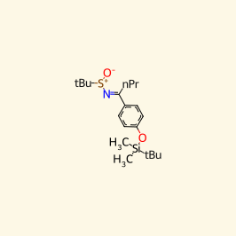 CCCC(=N[S+]([O-])C(C)(C)C)c1ccc(O[Si](C)(C)C(C)(C)C)cc1